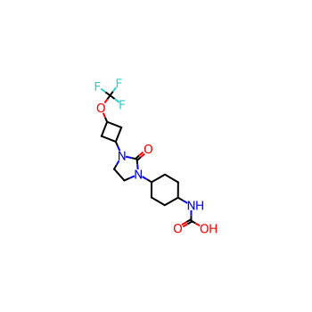 O=C(O)NC1CCC(N2CCN(C3CC(OC(F)(F)F)C3)C2=O)CC1